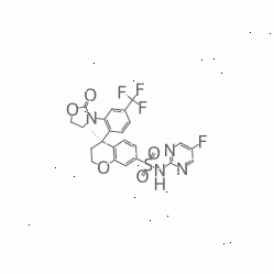 C[C@@]1(c2ccc(C(F)(F)F)cc2N2CCOC2=O)CCOc2cc(S(=O)(=O)Nc3ncc(F)cn3)ccc21